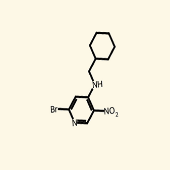 O=[N+]([O-])c1cnc(Br)cc1NCC1CCCCC1